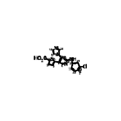 O=C(O)c1ccc(-c2cnc(Nc3ccc(F)c(Cl)c3)nc2-n2ccnc2)s1